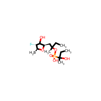 B[C@@H]1O[C@H](CC(C)(CC)OP(=O)(O)C(C)(O)CC)C(O)[C@H]1F